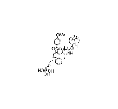 COc1ccc(S(=O)(=O)N(C[C@@H](O)[C@H](Cc2ccccc2)NC(=O)OC2CO[C@H]3OCC[C@@H]23)CC(C)(C)CCOC=P(O)(O)O)cc1